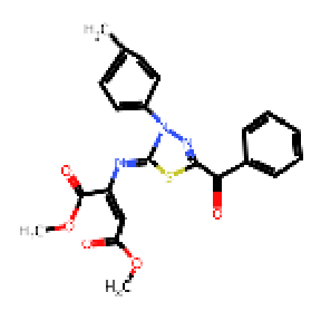 COC(=O)C=C(N=c1sc(C(=O)c2ccccc2)nn1-c1ccc(C)cc1)C(=O)OC